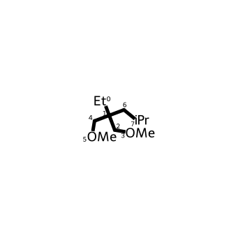 CCC(COC)(COC)CC(C)C